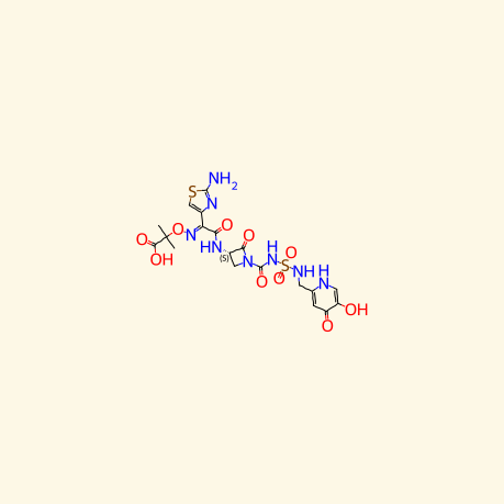 CC(C)(ON=C(C(=O)N[C@H]1CN(C(=O)NS(=O)(=O)NCc2cc(=O)c(O)c[nH]2)C1=O)c1csc(N)n1)C(=O)O